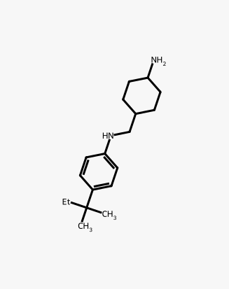 CCC(C)(C)c1ccc(NCC2CCC(N)CC2)cc1